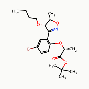 CCCCO[C@H]1C(c2cc(Br)ccc2O[C@@H](C)C(=O)OC(C)(C)C)=NO[C@H]1C